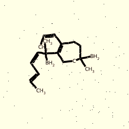 BC1(C)CCC(/C=C\C)=C(C(B)(C)/C=C\C=C\C)CC1